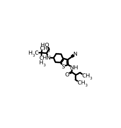 CCC(CC)C(=O)Nc1sc2c(c1C#N)CCC(NC(CO)C(C)(C)C)C2